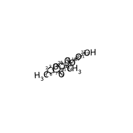 Cc1ccc2c(c1)CC(=O)c1cc(C(C)C(=O)OCCOCCO)ccc1O2